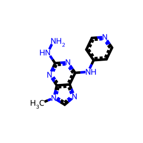 Cn1cnc2c(Nc3ccncc3)nc(NN)nc21